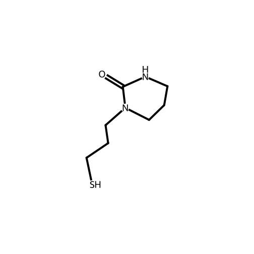 O=C1NCCCN1CCCS